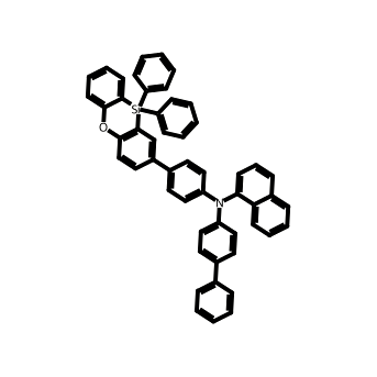 c1ccc(-c2ccc(N(c3ccc(-c4ccc5c(c4)[Si](c4ccccc4)(c4ccccc4)c4ccccc4O5)cc3)c3cccc4ccccc34)cc2)cc1